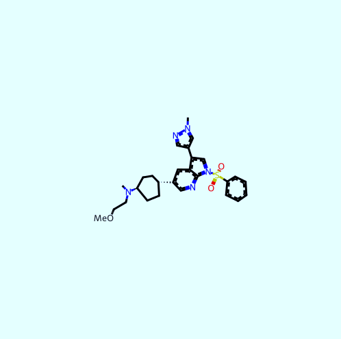 COCCN(C)[C@H]1CC[C@H](c2cnc3c(c2)c(-c2cnn(C)c2)cn3S(=O)(=O)c2ccccc2)CC1